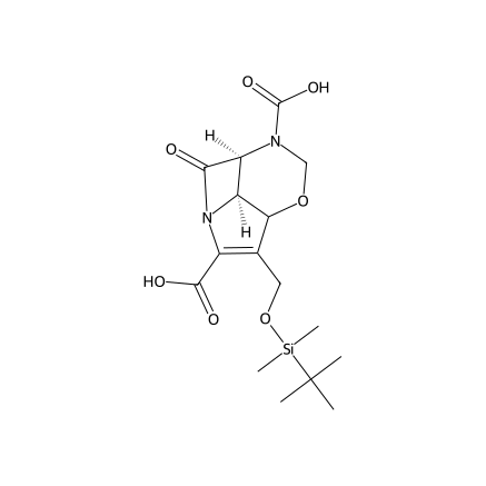 CC(C)(C)[Si](C)(C)OCC1=C(C(=O)O)N2C(=O)[C@@H]3[C@H]2C1OCN3C(=O)O